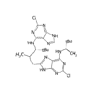 CC(Cc1nc2c(N[C@@H](C)C(C)(C)C)nc(Cl)nc2[nH]1)[C@H](Nc1nc(Cl)nc2[nH]cnc12)C(C)(C)C